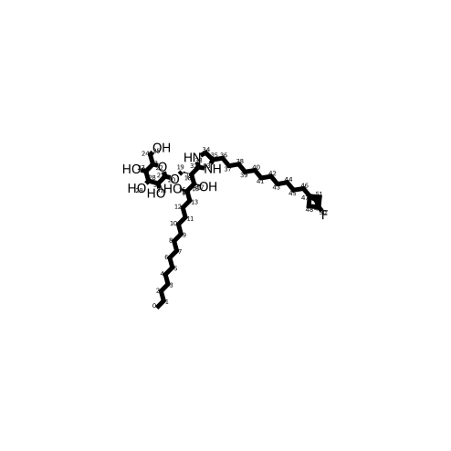 CCCCCCCCCCCCCC[C@@H](O)[C@@H](O)[C@H](COC1OC(CO)C(O)C(O)C1O)C1NCC(CCCCCCCCCCCC23CC(F)(C2)C3)N1